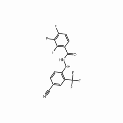 N#Cc1ccc(NNC(=O)c2ccc(F)c(F)c2F)c(C(F)(F)F)c1